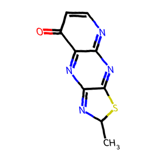 CC1N=c2nc3c(nc2S1)=NC=CC3=O